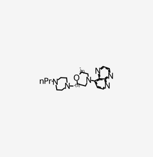 CCCN1CCN(C[C@H]2CN(c3ccnc4nccnc34)C[C@@H](C)O2)CC1